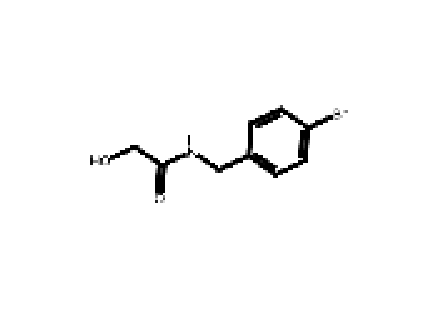 O=C(CO)NCc1ccc(Br)cc1